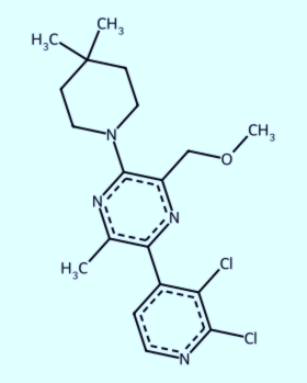 COCc1nc(-c2ccnc(Cl)c2Cl)c(C)nc1N1CCC(C)(C)CC1